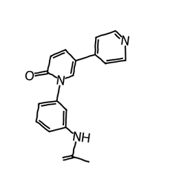 C=C(C)Nc1cccc(-n2cc(-c3ccncc3)ccc2=O)c1